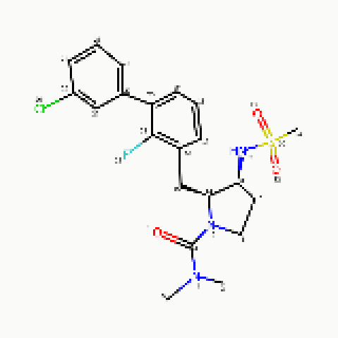 CN(C)C(=O)N1CC[C@H](NS(C)(=O)=O)[C@@H]1Cc1cccc(-c2cccc(Cl)c2)c1F